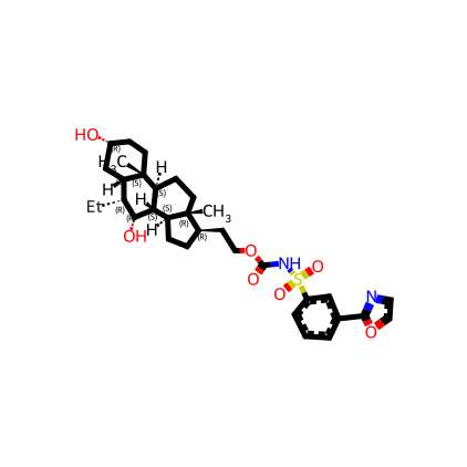 CC[C@H]1[C@@H](O)[C@@H]2[C@H](CC[C@]3(C)[C@@H](CCOC(=O)NS(=O)(=O)c4cccc(-c5ncco5)c4)CC[C@@H]23)[C@@]2(C)CC[C@@H](O)C[C@@H]12